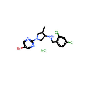 CC1CN(c2ncc(Br)cn2)CC1NCc1ccc(Cl)cc1Cl.Cl